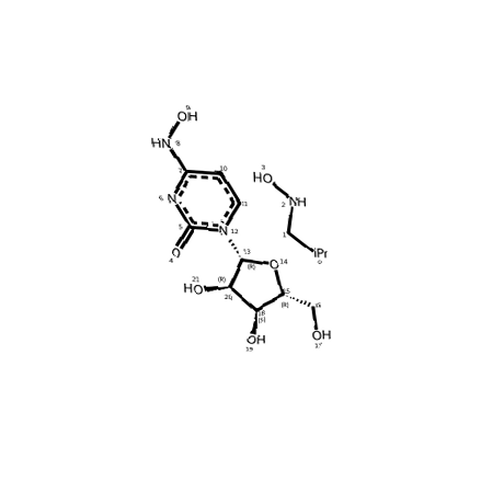 CC(C)CNO.O=c1nc(NO)ccn1[C@@H]1O[C@H](CO)[C@@H](O)[C@H]1O